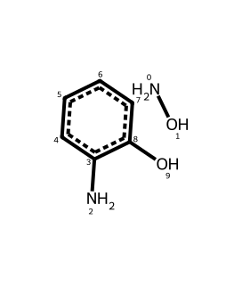 NO.Nc1ccccc1O